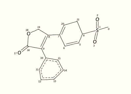 CS(=O)(=O)C1C=CC(C2=C(c3ccccc3)C(=O)OC2)=CC1